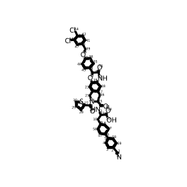 N#Cc1ccc(-c2ccc(CC(NC(=O)C3Cc4cc5c(cc4CN3C(=O)c3cccs3)OC(c3ccc(OCc4ccc(Cl)c(Cl)c4)cc3)C(=O)N5)C(=O)O)cc2)cc1